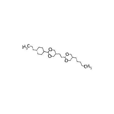 CCCCCC1COC(CCC2COC(C3CCC(CCC)CC3)OC2)OC1